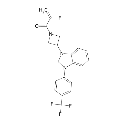 C=C(F)C(=O)N1CC(N2CN(c3ccc(C(F)(F)F)cc3)c3ccccc32)C1